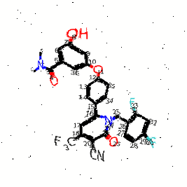 CN(C)C(=O)c1cc(O)cc(Oc2ccc(-c3cc(C(F)(F)F)c(C#N)c(=O)n3Cc3ccc(F)cc3F)cc2)c1